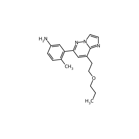 CCCOCCc1cc(-c2cc(N)ccc2C)nn2ccnc12